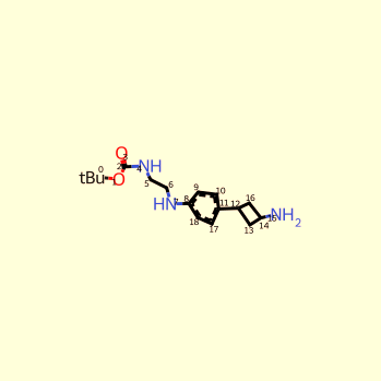 CC(C)(C)OC(=O)NCCNc1ccc(C2CC(N)C2)cc1